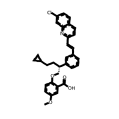 COc1ccc(OC[C@H](CCC2CC2)c2cccc(/C=C/c3ccc4ccc(Cl)cc4n3)c2)c(C(=O)O)c1